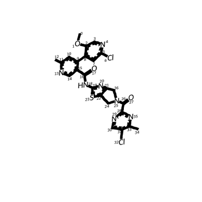 COc1cnc(Cl)cc1-c1cc(C)ncc1C(=O)Nc1nc2c(s1)CN(C(=O)c1ncc(Cl)c(C)n1)C2